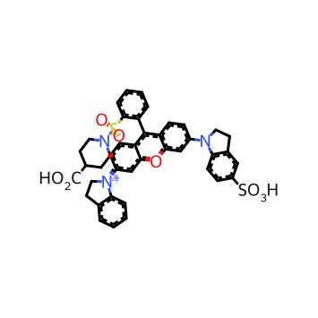 O=C(O)C1CCN(S(=O)(=O)c2ccccc2-c2c3cc/c(=[N+]4\CCc5ccccc54)cc-3oc3cc(N4CCc5cc(S(=O)(=O)O)ccc54)ccc23)CC1